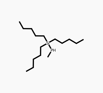 CCCCC[Si](CCCCC)(CCCCC)PC